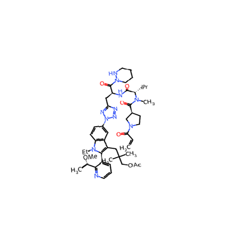 C=CC(=O)N1CC[C@H](C(=O)N(C)[C@H](C(=O)N[C@@H](Cc2nnn(-c3ccc4c(c3)c(CC(C)(C)COC(C)=O)c(-c3cccnc3[C@H](C)OC)n4CC)n2)C(=O)N2CCCCN2)C(C)C)C1